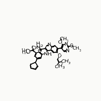 COc1ncc(-c2cc3ncc(C(N)=O)c(Nc4cc(C(=O)O)cc(C5CCCC5)c4)c3cc2OCC(C)C)c(OC)n1